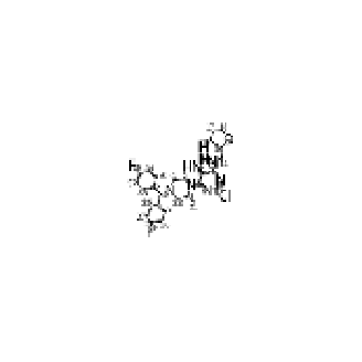 C[C@@H]1CN(c2nc(Cl)nc3c2NNN3C[C@H]2CCCO2)[C@@H](C)CN1C(c1ccc(F)cc1)c1ccc(F)cc1